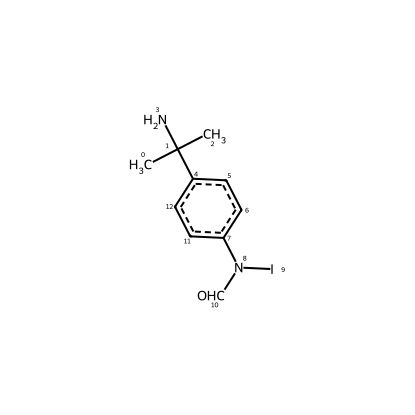 CC(C)(N)c1ccc(N(I)C=O)cc1